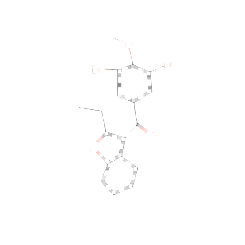 CCc1oc2ccccc2c1C(=O)c1cc(Br)c(OC)c(Br)c1